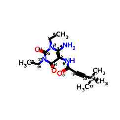 CCn1c(N)c(NC(=O)C#C[Si](C)(C)C)c(=O)n(CC)c1=O